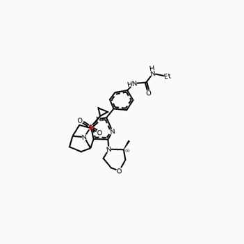 CCNC(=O)Nc1ccc(-c2nc3c(c(N4CCOC[C@@H]4C)n2)C2CCC(C3)N2S(=O)(=O)C2CC2)cc1